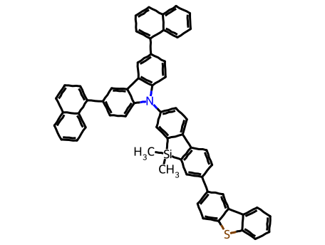 C[Si]1(C)c2cc(-c3ccc4sc5ccccc5c4c3)ccc2-c2ccc(-n3c4ccc(-c5cccc6ccccc56)cc4c4cc(-c5cccc6ccccc56)ccc43)cc21